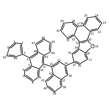 c1ccc(-c2c3ccccc3c(-c3cc(-c4ccc5oc6c7ccccc7c7ccccc7c6c5c4)cc4ccccc34)c3ccccc23)cc1